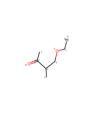 [3H]COCC(C)C(C)=O